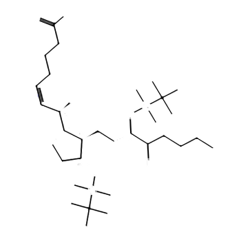 CCCCC(F)[C@H](CC[C@@H]1[C@@H]([C@H](F)/C=C\CCCC(=O)O)CC[C@H]1O[Si](C)(C)C(C)(C)C)O[Si](C)(C)C(C)(C)C